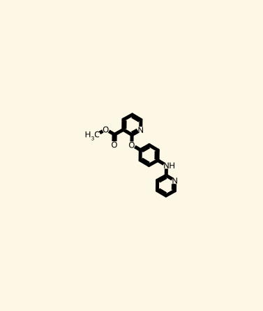 COC(=O)c1cccnc1Oc1ccc(Nc2ccccn2)cc1